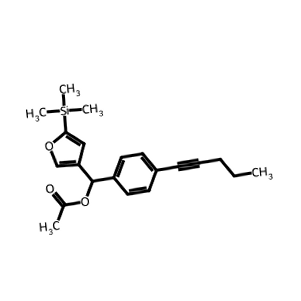 CCCC#Cc1ccc(C(OC(C)=O)c2coc([Si](C)(C)C)c2)cc1